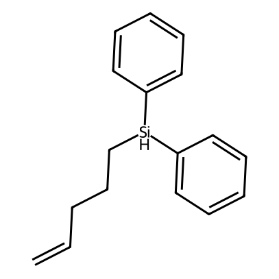 C=CCCC[SiH](c1ccccc1)c1ccccc1